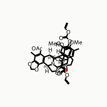 C=COC(=O)Oc1cc2c(cc1OC)[C@@]1(CS[C@@H]3c4c(OC(C)=O)c(C)c5c(c4[C@H](COC1=O)N1C3[C@H]3c4c(cc(C)c(OC)c4O)C[C@@H]([C@@H]1C#N)N3C)OCO5)N(C(=O)OC=C)CC2